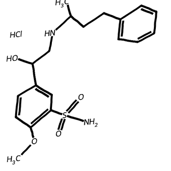 COc1ccc(C(O)CNC(C)CCc2ccccc2)cc1S(N)(=O)=O.Cl